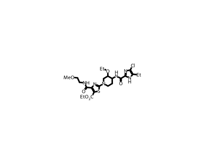 CCOC(=O)c1sc(N2CCC(NC(=O)c3nc(Cl)c(CC)[nH]3)C(OCC)C2)nc1C(=O)NCCOC